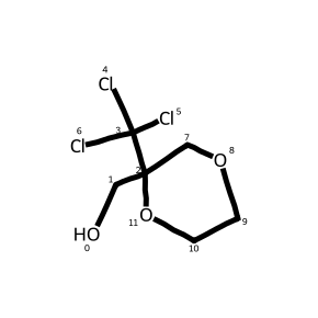 OCC1(C(Cl)(Cl)Cl)COCCO1